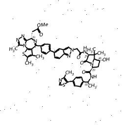 COC(=O)C[C@@H]1N=C(c2ccc(-c3ccc4nn(CC(=O)N[C@@H]5C(=O)N6C([C@H](O)C[C@H]6C(=O)N[C@@H](C)c6ccc(-c7scnc7C)cc6)C5(C)C)cc4c3)cc2)c2c(sc(C)c2C)-n2c(C)nnc21